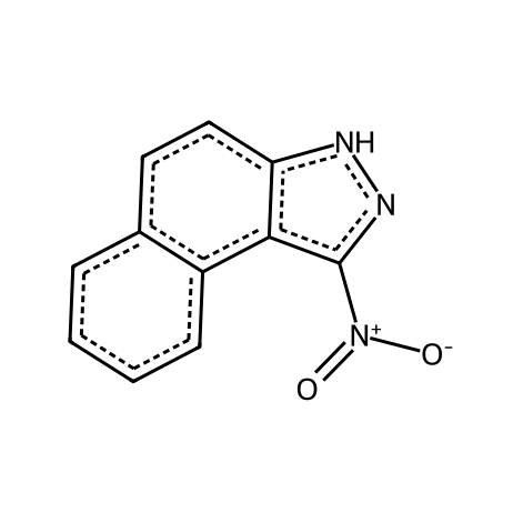 O=[N+]([O-])c1n[nH]c2ccc3ccccc3c12